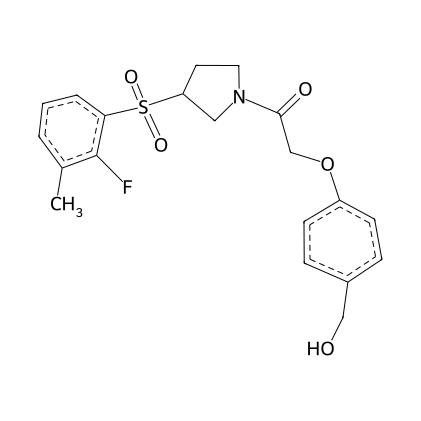 Cc1cccc(S(=O)(=O)C2CCN(C(=O)COc3ccc(CO)cc3)C2)c1F